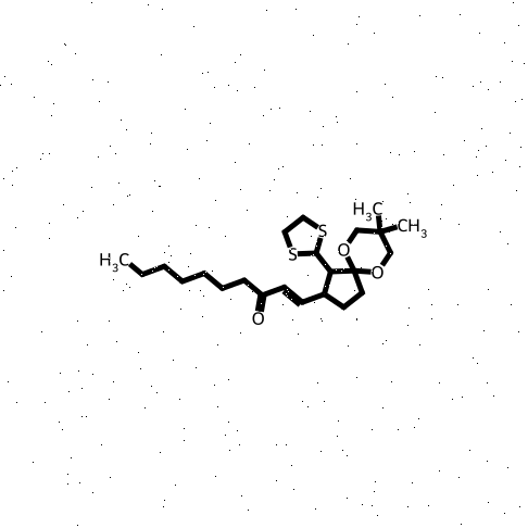 CCCCCCCC(=O)C=CC1CCC2(OCC(C)(C)CO2)C1C1SCCS1